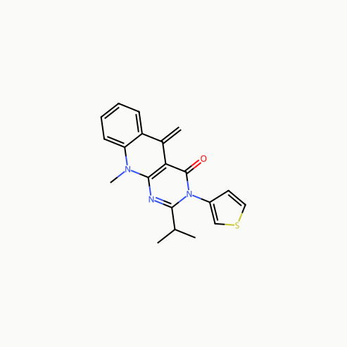 C=C1c2ccccc2N(C)c2nc(C(C)C)n(-c3ccsc3)c(=O)c21